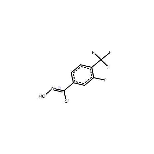 O/N=C(\Cl)c1ccc(C(F)(F)F)c(F)c1